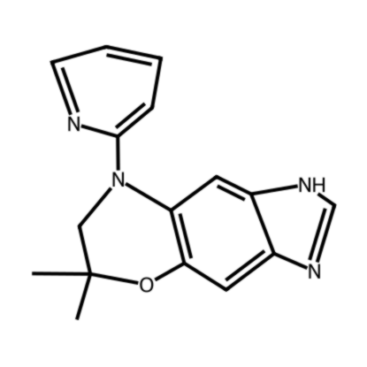 CC1(C)CN(c2ccccn2)c2cc3[nH]cnc3cc2O1